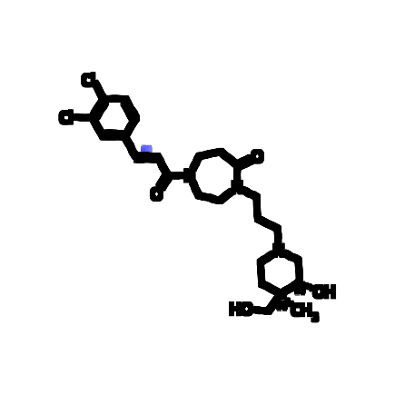 C[C@]1(CO)CCN(CCCN2CCN(C(=O)/C=C/c3ccc(Cl)c(Cl)c3)CCC2=O)C[C@@H]1O